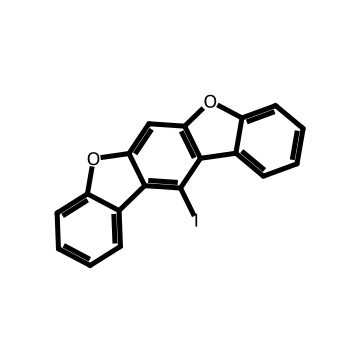 Ic1c2c(cc3oc4ccccc4c13)oc1ccccc12